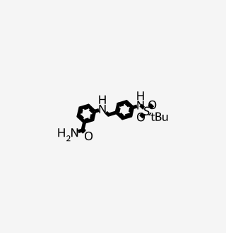 CC(C)(C)S(=O)(=O)Nc1ccc(CNc2cccc(C(N)=O)c2)cc1